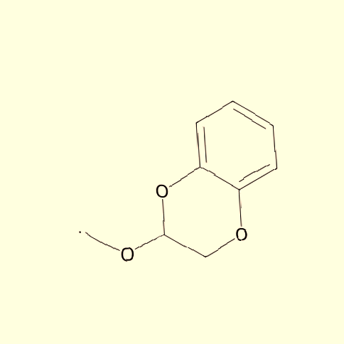 [CH2]OC1COc2ccccc2O1